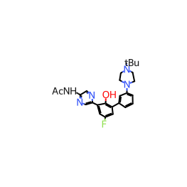 CC(=O)Nc1cnc(-c2cc(F)cc(-c3cccc(N4CCN(C(C)(C)C)CC4)c3)c2O)cn1